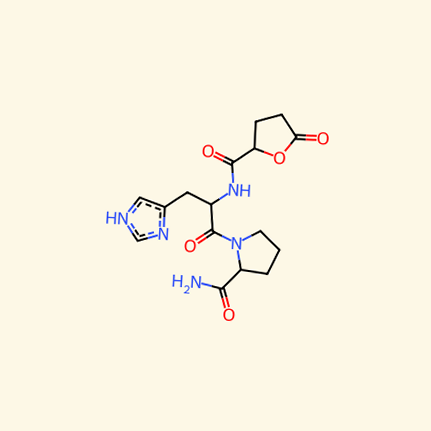 NC(=O)C1CCCN1C(=O)C(Cc1c[nH]cn1)NC(=O)C1CCC(=O)O1